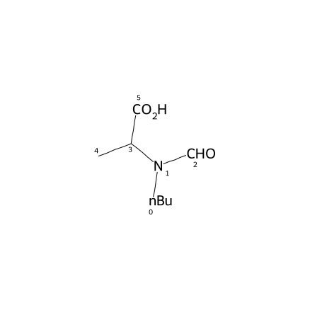 CCCCN(C=O)C(C)C(=O)O